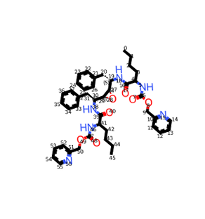 CCCCC(NC(=O)OCc1ccccn1)C(=O)N[C@@H](Cc1ccccc1)[C@@H]1O[C@@H]1[C@H](Cc1ccccc1)NC(=O)C(CCCC)NC(=O)OCc1ccccn1